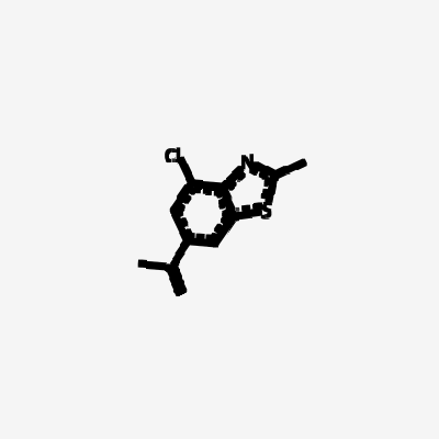 C=C(C)c1cc(Cl)c2nc(C)sc2c1